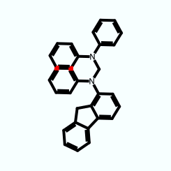 c1ccc(N(CN(c2ccccc2)c2cccc3c2Cc2ccccc2-3)c2ccccc2)cc1